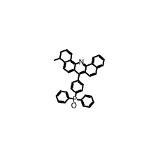 CC1CC=Cc2c1ccc1c(-c3ccc(P(=O)(c4ccccc4)c4ccccc4)cc3)c3ccc4ccccc4c3nc21